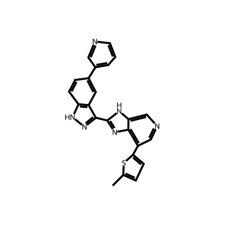 Cc1ccc(-c2cncc3[nH]c(-c4n[nH]c5ccc(-c6cccnc6)cc45)nc23)s1